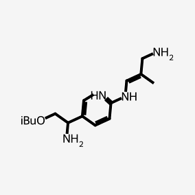 C/C=C(\C=C/C(=N)N/C=C(\C)CN)C(N)COCC(C)C